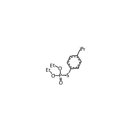 CCOP(=O)(OCC)Sc1ccc(C(C)C)cc1